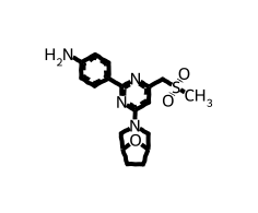 CS(=O)(=O)Cc1cc(N2CC3CCC(C2)O3)nc(-c2ccc(N)cc2)n1